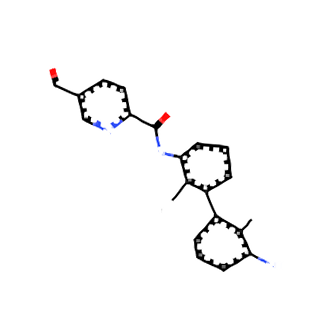 Cc1c(N)cccc1-c1cccc(NC(=O)c2ccc(C=O)cn2)c1C